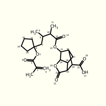 C=C(C)C(=O)OC1(CC(C)C(C)C(=O)OC2C3CC4C2OC(=O)C4C3C(=O)O)CCCC1